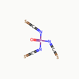 O=P(N=C=S)(N=C=S)N=C=S